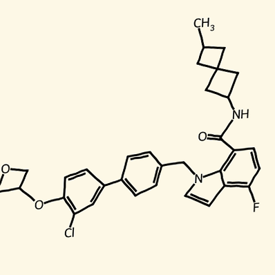 CC1CC2(C1)CC(NC(=O)c1ccc(F)c3ccn(Cc4ccc(-c5ccc(OC6COC6)c(Cl)c5)cc4)c13)C2